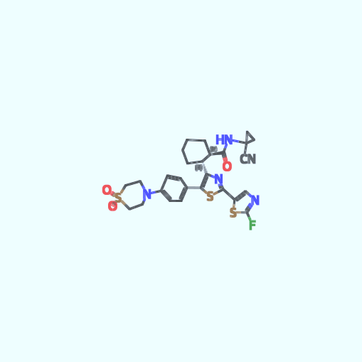 N#CC1(NC(=O)[C@@H]2CCCC[C@H]2c2nc(-c3cnc(F)s3)sc2-c2ccc(N3CCS(=O)(=O)CC3)cc2)CC1